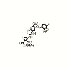 COC(=O)c1scc(NC(=O)Nc2cc(OCc3ccc(F)c4scnc34)c(OC)cc2F)c1C(=O)OC